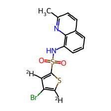 [2H]c1sc(S(=O)(=O)Nc2cccc3ccc(C)nc23)c([2H])c1Br